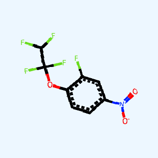 O=[N+]([O-])c1ccc(OC(F)(F)C(F)F)c(F)c1